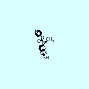 CCN(C(=O)Oc1ccncc1)c1ccc2nc(S)sc2n1